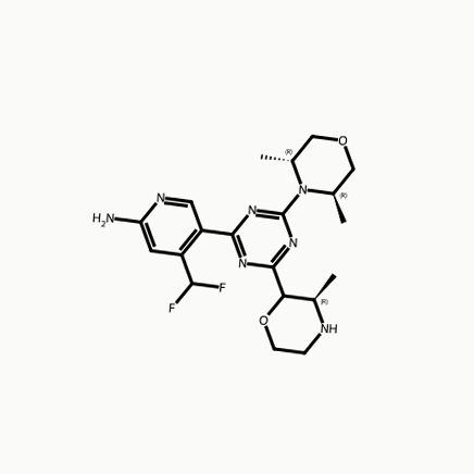 C[C@@H]1COC[C@@H](C)N1c1nc(-c2cnc(N)cc2C(F)F)nc(C2OCCN[C@@H]2C)n1